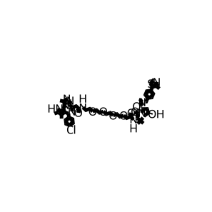 Cc1ncsc1-c1ccc(CN(C)C(=O)[C@@H]2C[C@@H](O)CN2C(=O)C(NC(=O)COCCOCCOCCOCCNC(=O)CC2N=C(c3ccc(Cl)cc3)c3c([nH]c(C)c3C)-n3c(C)nnc32)C(C)(C)C)cc1